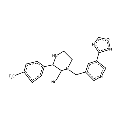 N#CC1C(c2ccc(C(F)(F)F)cc2)NCCN1Cc1cncc(-c2ncon2)c1